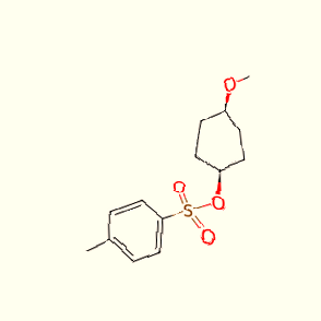 CO[C@H]1CC[C@@H](OS(=O)(=O)c2ccc(C)cc2)CC1